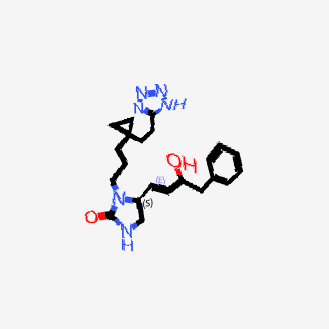 O=C1NC[C@H](/C=C/C(O)Cc2ccccc2)N1CCCC1(CCc2nnn[nH]2)CC1